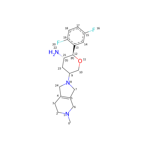 CN1CCC2=C(C1)CN(C1CO[C@H](c3cc(F)ccc3F)[C@@H](N)C1)C2